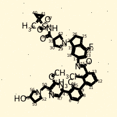 COc1nc(-c2cccc(-c3cccc(-c4nc5cc6c(c(F)c5o4)CC[C@H]6N4CC[C@@H](C(=O)NS(=O)(=O)C5(C)CC5)C4)c3Cl)c2C)cnc1CN1CC[C@@H](O)C1